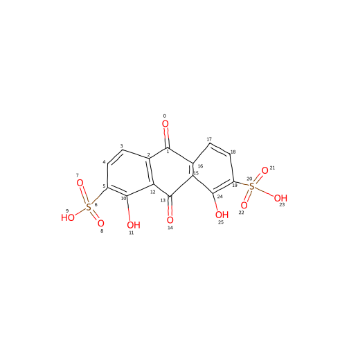 O=C1c2ccc(S(=O)(=O)O)c(O)c2C(=O)c2c1ccc(S(=O)(=O)O)c2O